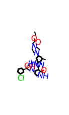 CCOC(=O)CN1CCN(c2cc(C)c3nc(-c4c(NCC(O)c5cccc(Cl)c5)cc[nH]c4=O)[nH]c3c2)CC1